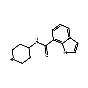 O=C(NC1CCNCC1)c1cccc2cc[nH]c12